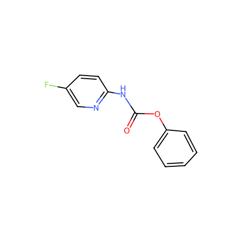 O=C(Nc1ccc(F)cn1)Oc1ccccc1